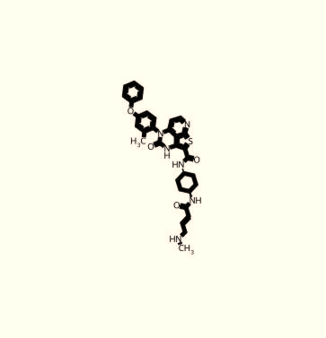 CNC/C=C/C(=O)N[C@H]1CC[C@H](NC(=O)c2sc3nccc4c3c2NC(=O)N4c2ccc(Oc3ccccc3)cc2C)CC1